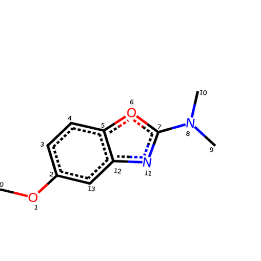 COc1ccc2oc(N(C)C)nc2c1